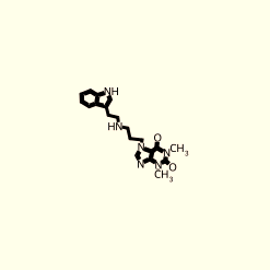 Cn1c(=O)c2c(ncn2CCCNCCc2c[nH]c3ccccc23)n(C)c1=O